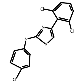 Clc1ccc(Nc2nc(-c3c(Cl)cccc3Cl)cs2)cc1